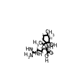 CC1CCC(N[C@@H](CCCNC(=N)N)C(=O)O)(C(C)C)C(O)C1